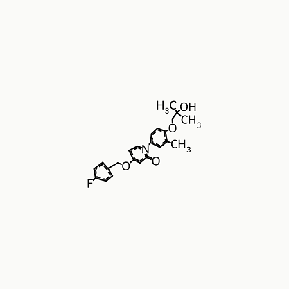 Cc1cc(-n2ccc(OCc3ccc(F)cc3)cc2=O)ccc1OCC(C)(C)O